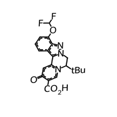 CC(C)(C)C1Cn2nc3c(OC(F)F)cccc3c2-c2cc(=O)c(C(=O)O)cn21